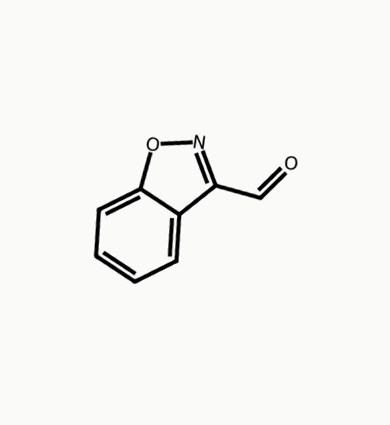 O=Cc1noc2ccccc12